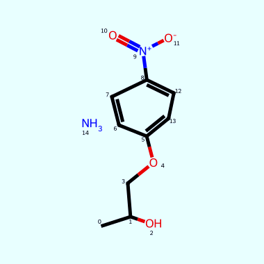 CC(O)COc1ccc([N+](=O)[O-])cc1.N